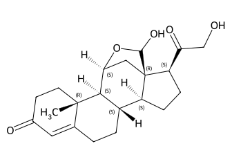 C[C@]12CCC(=O)C=C1CC[C@@H]1[C@@H]2[C@@H]2C[C@]3(C(O)O2)[C@@H](C(=O)CO)CC[C@@H]13